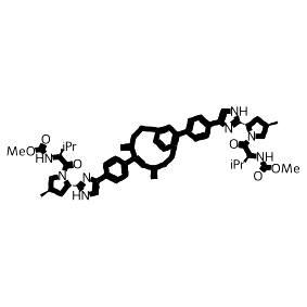 C=C1/C=C(/c2ccc(-c3c[nH]c([C@@H]4C[C@@H](C)CN4C(=O)[C@@H](NC(=O)OC)C(C)C)n3)cc2)C(=C)CCc2ccc(c(-c3ccc(-c4c[nH]c([C@@H]5C[C@@H](C)CN5C(=O)[C@@H](NC(=O)OC)C(C)C)n4)cc3)c2)CC1